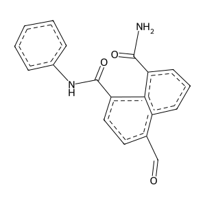 NC(=O)c1cccc2c(C=O)ccc(C(=O)Nc3ccccc3)c12